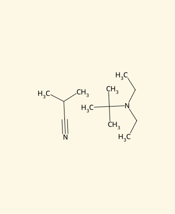 CC(C)C#N.CCN(CC)C(C)(C)C